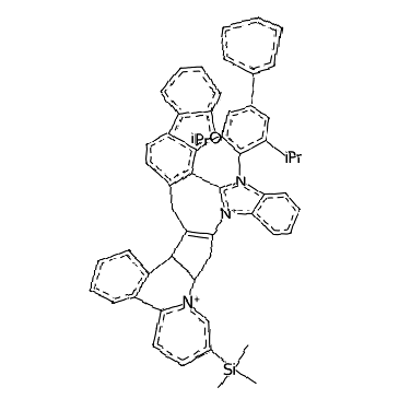 CC(C)c1cc(-c2ccccc2)cc(C(C)C)c1-n1c2[n+](c3ccccc31)C1=C(Cc3ccc4c(oc5ccccc54)c3-2)C2c3ccccc3-c3ccc([Si](C)(C)C)c[n+]3C2C1